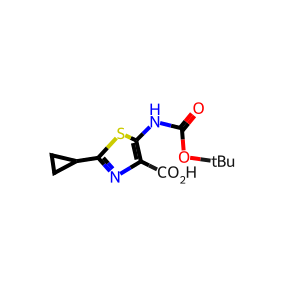 CC(C)(C)OC(=O)Nc1sc(C2CC2)nc1C(=O)O